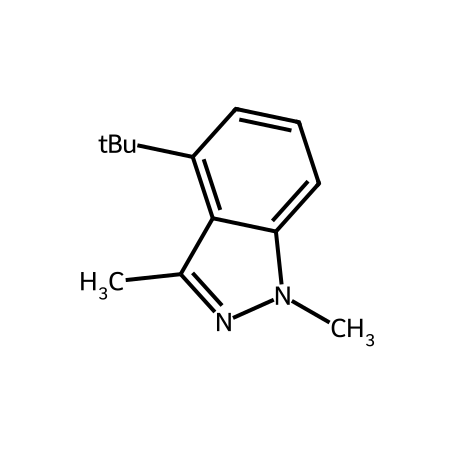 Cc1nn(C)c2cccc(C(C)(C)C)c12